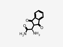 NC(=O)[C@H](N)C1C(=O)c2ccccc2C1=O